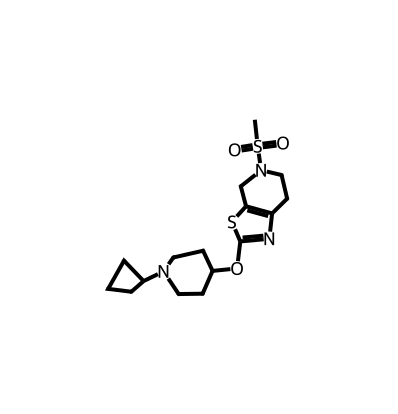 CS(=O)(=O)N1CCc2nc(OC3CCN(C4CCC4)CC3)sc2C1